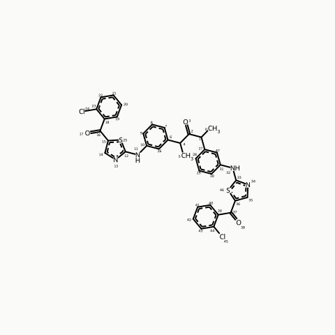 CC(C(=O)C(C)c1cccc(Nc2ncc(C(=O)c3ccccc3Cl)s2)c1)c1cccc(Nc2ncc(C(=O)c3ccccc3Cl)s2)c1